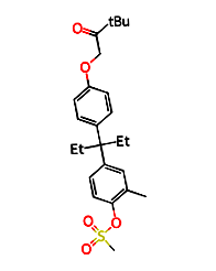 CCC(CC)(c1ccc(OCC(=O)C(C)(C)C)cc1)c1ccc(OS(C)(=O)=O)c(C)c1